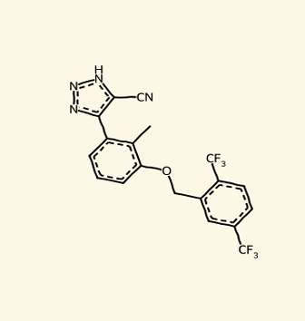 Cc1c(OCc2cc(C(F)(F)F)ccc2C(F)(F)F)cccc1-c1nn[nH]c1C#N